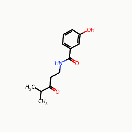 CC(C)C(=O)CCNC(=O)c1cccc(O)c1